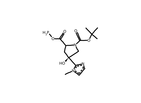 Cn1ccnc1[C@]1(O)CC(C(=O)OP)N(C(=O)OC(C)(C)C)C1